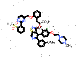 COc1cccc(-c2ncc3snc(O[C@H](Cc4ccccc4OCc4ccnc(-c5ccccc5S(C)(=O)=O)n4)C(=O)O)c3c2-c2ccc(OCCN3CCN(C)CC3)c(Cl)c2C)c1